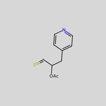 CC(=O)OC([C]=S)Cc1ccncc1